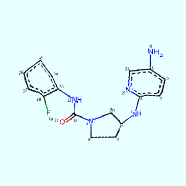 Nc1ccc(NC2CCN(C(=O)Nc3ccccc3F)C2)nc1